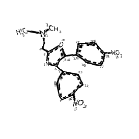 CN(C)Cc1nc(-c2ccc([N+](=O)[O-])cc2)c(-c2ccc([N+](=O)[O-])cc2)o1